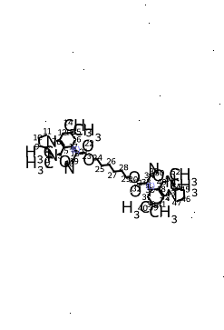 CN(C)C(=O)C1=C(N2CCCC2)CC(C)(C)C/C1=C(/C#N)C(=O)OCCCCCCOC(=O)/C(C#N)=C1\CC(C)(C)CC(N2CCCC2)=C1C(=O)N(C)C